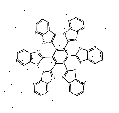 c1cnc2oc(-c3c(-c4nc5ccncc5o4)c(-c4nc5cccnc5o4)c(-c4nc5cccnc5o4)c(-c4nc5cccnc5o4)c3-c3nc4cccnc4o3)nc2c1